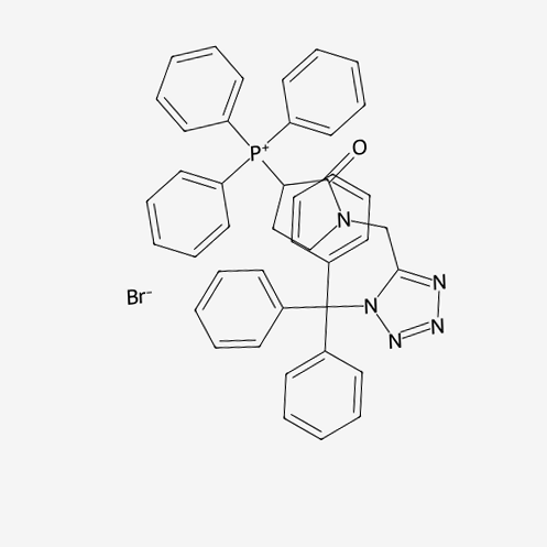 O=C1C([P+](c2ccccc2)(c2ccccc2)c2ccccc2)CCN1Cc1nnnn1C(c1ccccc1)(c1ccccc1)c1ccccc1.[Br-]